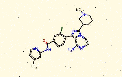 N#CN1CCCC(c2nc(-c3ccc(C(=O)Nc4cc(C(F)(F)F)ccn4)cc3F)c3c(N)nccn23)C1